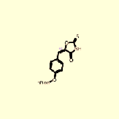 CCCCCCCCCOc1ccc(/C=C2/OC(=S)NC2=O)cc1